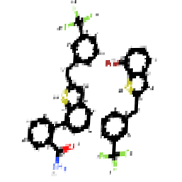 FC(F)(F)c1cccc(Cc2cc3cccc(Br)c3s2)c1.NC(=O)c1ccccc1-c1cccc2cc(Cc3cccc(C(F)(F)F)c3)sc12